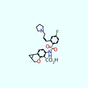 O=C(O)c1c(NS(=O)(=O)c2ccc(F)cc2/C=C\CN2CCCC2)ccc2c1OCC1CC21